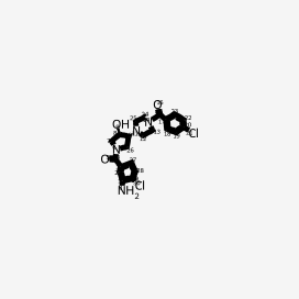 Nc1cc(C(=O)N2C[C@@H](O)[C@H](N3CCN(C(=O)c4ccc(Cl)cc4)CC3)C2)ccc1Cl